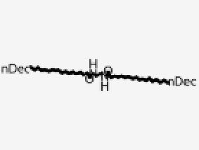 CCCCCCCCCCCCCCCCCCCCCCCCCCCC(=O)NCCNC(=O)CCCCCCCCCCCCCCCCCCCCCCCCCCC